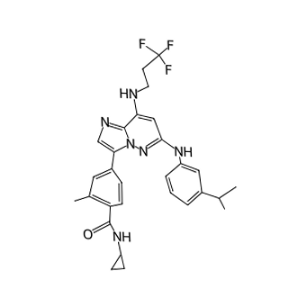 Cc1cc(-c2cnc3c(NCCC(F)(F)F)cc(Nc4cccc(C(C)C)c4)nn23)ccc1C(=O)NC1CC1